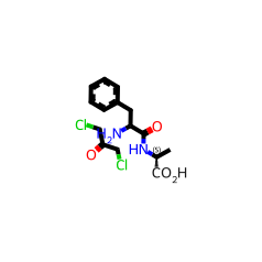 C[C@H](NC(=O)C(N)Cc1ccccc1)C(=O)O.O=C(CCl)CCl